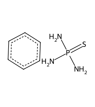 NP(N)(N)=S.c1ccccc1